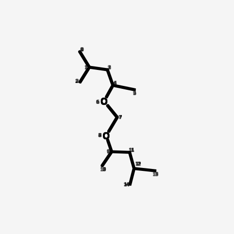 CC(C)CC(C)OCOC(C)CC(C)C